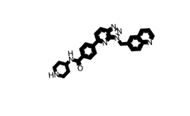 O=C(NC1CCNCC1)c1ccc(-c2ccc3nnn(Cc4ccc5ncccc5c4)c3n2)cc1